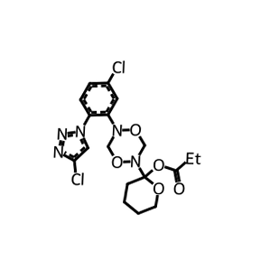 CCC(=O)OC1(N2CON(c3cc(Cl)ccc3-n3cc(Cl)nn3)CO2)CCCCO1